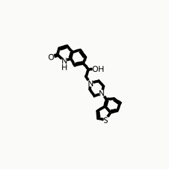 O=c1ccc2ccc(C(O)CN3CCN(c4cccc5sccc45)CC3)cc2[nH]1